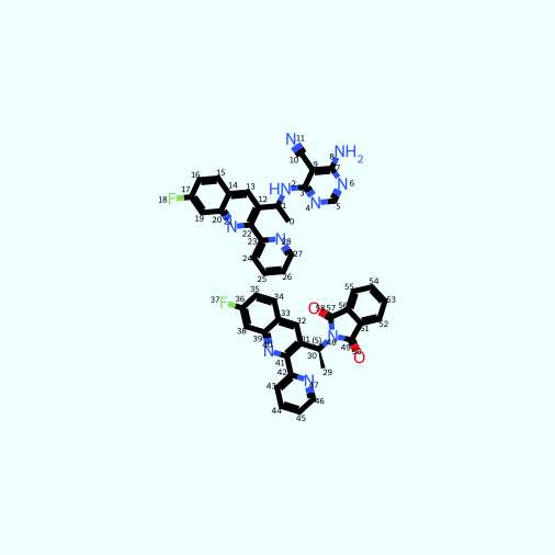 CC(Nc1ncnc(N)c1C#N)c1cc2ccc(F)cc2nc1-c1ccccn1.C[C@@H](c1cc2ccc(F)cc2nc1-c1ccccn1)N1C(=O)c2ccccc2C1=O